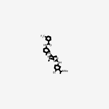 CCc1ccc(Nc2ncc3c(Nc4cc(NC(=O)c5cccc(C(F)(F)F)c5)ccc4C)nn(C)c3n2)cc1C(C)NC